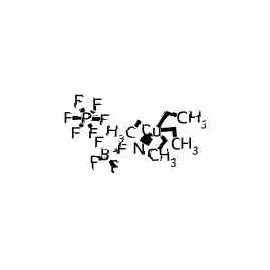 C[CH2][Cu]([C]#N)([CH2]C)([CH2]C)[CH2]C.F[B-](F)(F)F.F[P-](F)(F)(F)(F)F